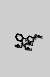 CCC[CH2][Sn]([CH2]CCC)([CH2]CCC)[c]1ccccc1[C@H]1C[C@@H](OC(C)=O)CO1